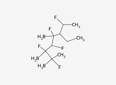 BC(F)(C(CC)C(C)F)C(F)C(B)(F)C(B)(C)F